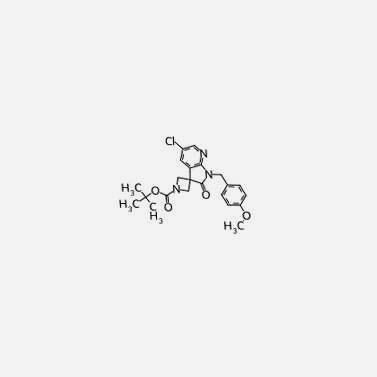 COc1ccc(CN2C(=O)C3(CN(C(=O)OC(C)(C)C)C3)c3cc(Cl)cnc32)cc1